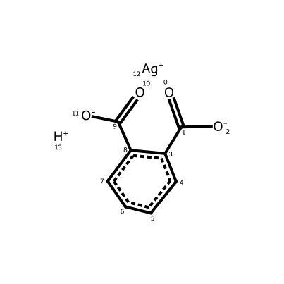 O=C([O-])c1ccccc1C(=O)[O-].[Ag+].[H+]